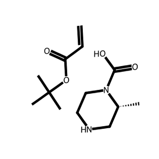 C=CC(=O)OC(C)(C)C.C[C@@H]1CNCCN1C(=O)O